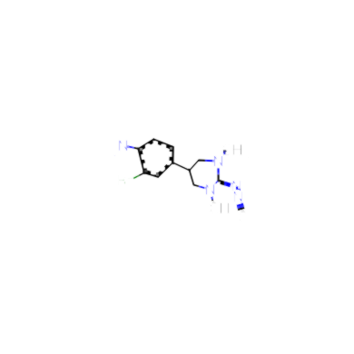 [C-]#[N+]N=C1N(C)CC(c2ccc(N)c(Br)c2)CN1C